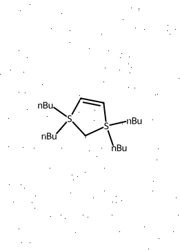 CCCCS1(CCCC)[CH]S(CCCC)(CCCC)C=C1